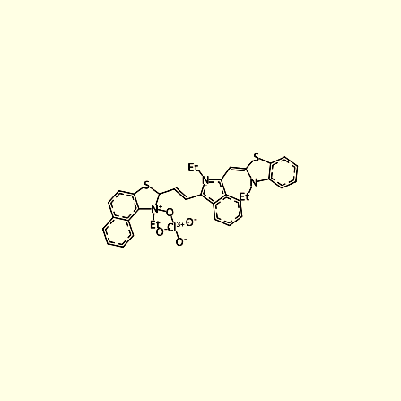 CCN1C(=Cc2c3ccccc3c(C=CC3Sc4ccc5ccccc5c4[N+]3(CC)O[Cl+3]([O-])([O-])[O-])n2CC)Sc2ccccc21